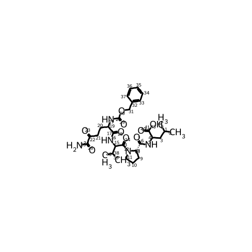 CC(C)CC(NC(=O)[C@@H]1CCCN1C(=O)C(NC(=O)C(CCC(=O)C(N)=O)NC(=O)OCc1ccccc1)C(C)C)C(=O)O